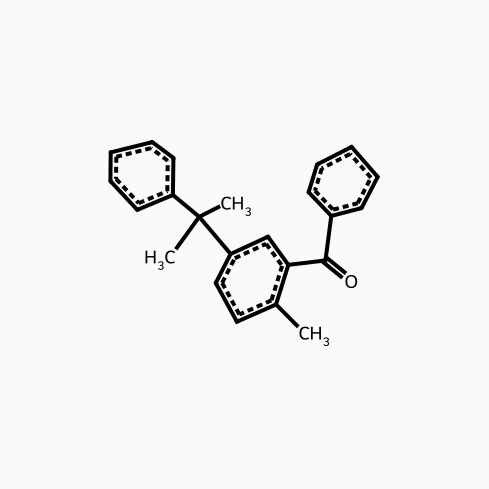 Cc1ccc(C(C)(C)c2ccccc2)cc1C(=O)c1ccccc1